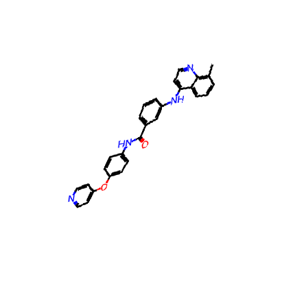 Cc1cccc2c(Nc3cccc(C(=O)Nc4ccc(Oc5ccncc5)cc4)c3)ccnc12